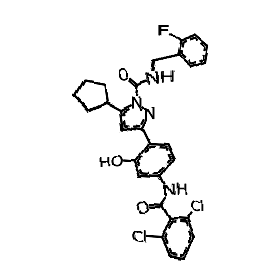 O=C(Nc1ccc(-c2cc(C3CCCC3)n(C(=O)NCc3ccccc3F)n2)c(O)c1)c1c(Cl)cccc1Cl